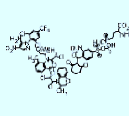 CC1COc2ccccc2N1C(=O)C(Cl)Cl.CCc1cccc(C)c1N(C(=O)CCl)C(C)COC.CP(=O)(O)CCC(N)C(=O)O.CS(=O)(=O)c1ccc(C(=O)C2C(=O)CCCC2=O)c([N+](=O)[O-])c1.Nc1c([N+](=O)[O-])cnn1-c1c(Cl)cc(C(F)(F)F)cc1Cl